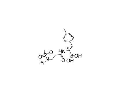 Cc1ccc(C[C@H](NC(=O)CCN(C(C)C)S(C)(=O)=O)B(O)O)cc1